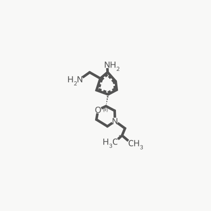 C[C](C)CN1CCO[C@H](c2ccc(N)c(CN)c2)C1